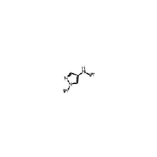 CC(C)Nc1cnn(C(C)C)c1